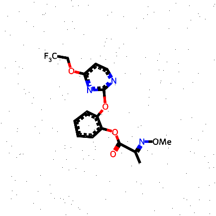 CON=C(C)C(=O)Oc1ccccc1Oc1nccc(OCC(F)(F)F)n1